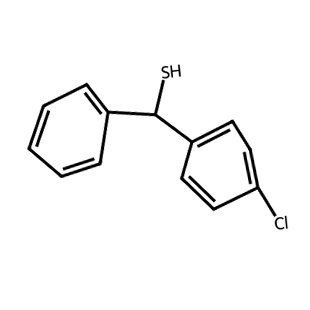 SC(c1ccccc1)c1ccc(Cl)cc1